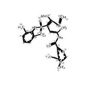 C=N/C(OC)=C(\C=C(/C)NC(=O)c1ncn(C)c1C(F)(F)F)S(=O)(=O)Nc1c(C)cccc1C